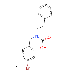 O=C(O)N(CCc1ccccc1)Cc1ccc(Br)cc1